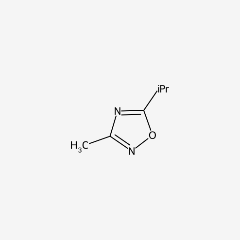 Cc1noc(C(C)C)n1